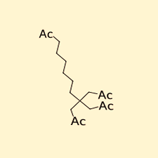 CC(=O)CCCCCCC(CC(C)=O)(CC(C)=O)CC(C)=O